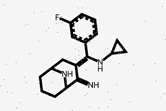 N=C1/C(=C(\NC2CC2)c2cccc(F)c2)CC2CCCC1N2